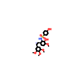 COc1ccc(/C=C\c2cc(OC)c(OC)c(OC)c2)c(NS(=O)(=O)c2ccc(O)cc2)c1O